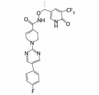 C[C@@H](ONC(=O)C1=CCN(c2ncc(-c3ccc(F)cc3)cn2)CC1)c1c[nH]c(=O)c(C(F)(F)F)c1